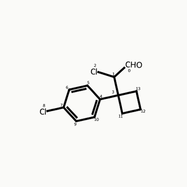 O=CC(Cl)C1(c2ccc(Cl)cc2)CCC1